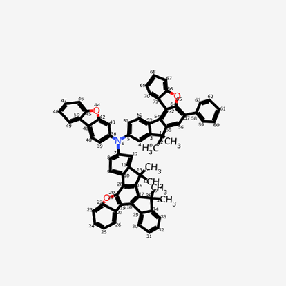 CC1(C)c2cc(N(c3ccc4c(c3)C(C)(C)c3c5c(c6c(oc7ccccc76)c3-4)-c3ccccc3C5(C)C)c3ccc4c(c3)oc3ccccc34)ccc2-c2c1cc(-c1ccccc1)c1oc3ccccc3c21